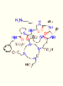 CC[C@H](C)[C@H](NC(=O)[C@H](CC(C)C)NC(=O)CCC(C(=O)O)N1CCN(CC=O)CCN(CC=O)CCN(CC(=O)O)CC1)C(=O)N[C@@H](CCCCN)C(=O)N[C@@H](CCCCN)C(=O)N1CCC[C@H]1C(=O)N[C@@H](Cc1ccccc1)C(=O)O